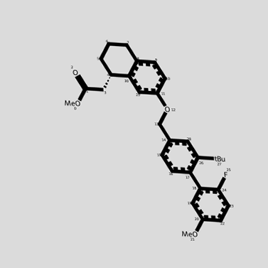 COC(=O)C[C@@H]1CCCc2ccc(OCc3ccc(-c4cc(OC)ccc4F)c(C(C)(C)C)c3)cc21